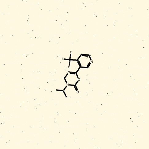 CC(C)N1CN=C(c2cnccc2C(F)(F)F)OC1=O